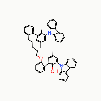 Cc1cc(-c2ccccc2CCCCCOc2ccccc2-c2cc(C)cc(-n3c4ccccc4c4ccccc43)c2O)c(C)c(-n2c3ccccc3c3ccccc32)c1